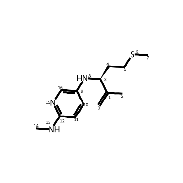 C=C(C)[C@H](CCSC)Nc1ccc(NC)nc1